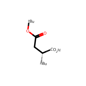 CCCC[C@H](CC(=O)OC(C)(C)C)C(=O)O